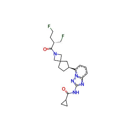 O=C(Nc1nc2cccc([C@H]3CCC4(C3)CN(C(=O)[C@@H](CF)CCF)C4)n2n1)C1CC1